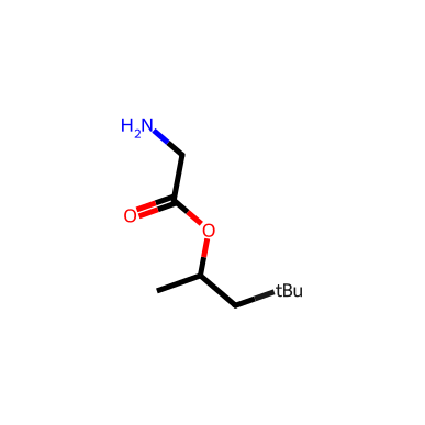 CC(CC(C)(C)C)OC(=O)CN